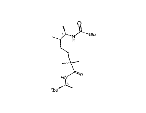 CC(CCC(C)(C)C(=O)N[C@@H](C)C(C)(C)C)[C@@H](C)NC(=O)C(C)(C)C